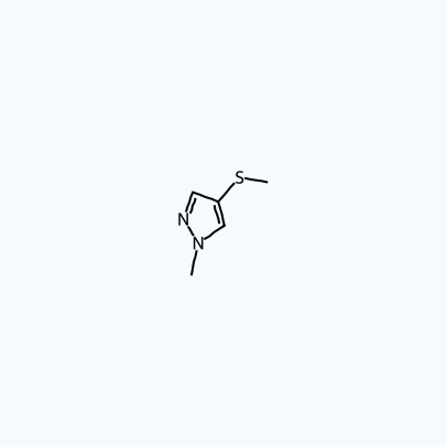 CSc1cnn(C)c1